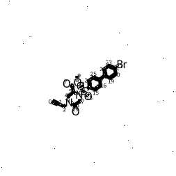 C#CCN1CC(C(=O)OC)N(S(=O)(=O)c2ccc(-c3ccc(Br)cc3)cc2)CC1=O